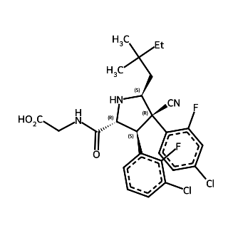 CCC(C)(C)C[C@@H]1N[C@@H](C(=O)NCC(=O)O)[C@H](c2cccc(Cl)c2F)[C@@]1(C#N)c1ccc(Cl)cc1F